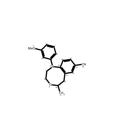 COc1cccc(N2CCOC(C)Cc3cc(C#N)ccc32)c1